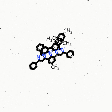 Cc1cc(C)c(-c2ccc3c(c2)c2ccccc2n3-c2c(-c3cc(-c4ccccc4)nc(-c4ccccc4)n3)cc(C(F)(F)F)cc2-c2cc(-c3ccccc3)nc(-c3ccccc3)n2)c(C)c1